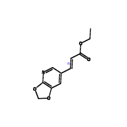 CCOC(=O)/C=C/c1cnc2c(c1)OCO2